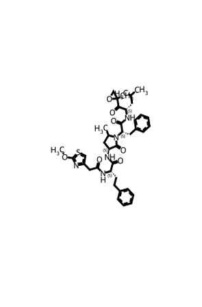 COc1nc(CC(=O)N[C@@H](CCc2ccccc2)C(=O)N[C@H]2CC(C)N([C@@H](Cc3ccccc3)C(=O)N[C@@H](CC(C)C)C(=O)C3(C)CO3)C2=O)cs1